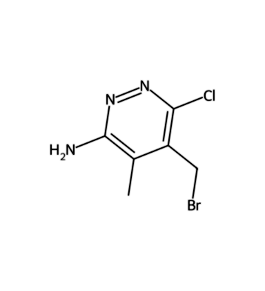 Cc1c(N)nnc(Cl)c1CBr